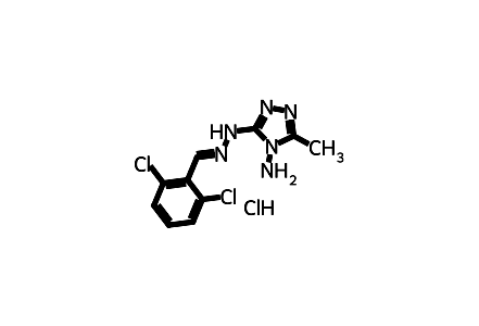 Cc1nnc(NN=Cc2c(Cl)cccc2Cl)n1N.Cl